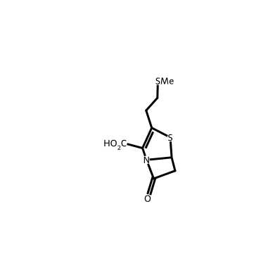 CSCCC1=C(C(=O)O)N2C(=O)CC2S1